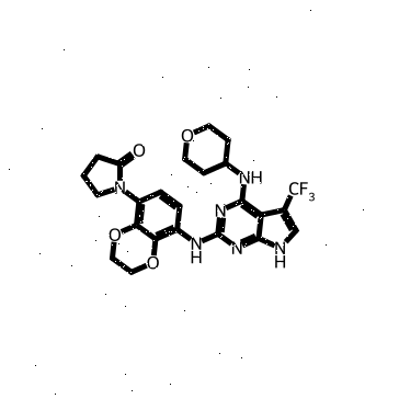 O=C1CCCN1c1ccc(Nc2nc(NC3CCOCC3)c3c(C(F)(F)F)c[nH]c3n2)c2c1OCCO2